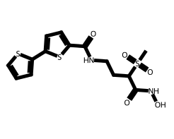 CS(=O)(=O)C(CCNC(=O)c1ccc(-c2cccs2)s1)C(=O)NO